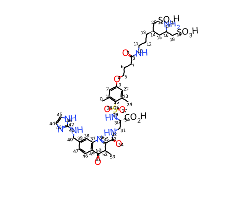 Cc1cc(OCCCC(=O)NCCC[C@H](C[C@@H](N)CS(=O)(=O)O)CS(=O)(=O)O)cc(C)c1S(=O)(=O)N[C@@H](CNC(=O)C1=Nc2cc(CNc3ncc[nH]3)ccc2C(=O)C1C)C(=O)O